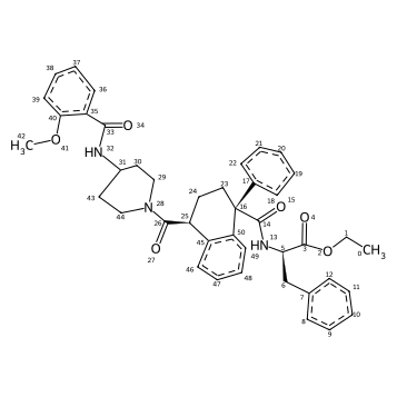 CCOC(=O)[C@@H](Cc1ccccc1)NC(=O)[C@@]1(c2ccccc2)CC[C@H](C(=O)N2CCC(NC(=O)c3ccccc3OC)CC2)c2ccccc21